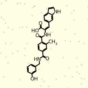 Cc1cc(C(=O)NCc2cccc(O)c2)ccc1C(=O)N/C(=C/c1ccc2cc[nH]c2c1)C(=O)O